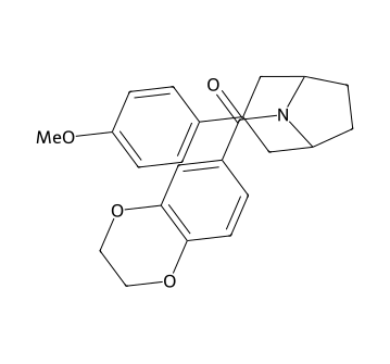 COc1ccc(C2CC3CCC(C2)N3C(=O)c2ccc3c(c2)OCCO3)cc1